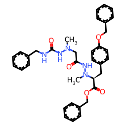 CN(CC(=O)NN(C)[C@@H](Cc1ccc(OCc2ccccc2)cc1)C(=O)OCc1ccccc1)NC(=O)NCc1ccccc1